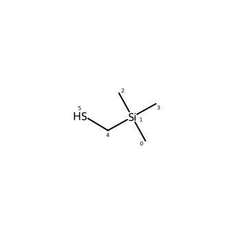 C[Si](C)(C)CS